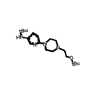 CC(C)(C)Nc1ccc(N2CCN(CCOC(C)(C)C)CC2)nc1